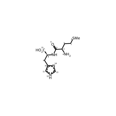 CSCCC(N)C(=O)N[C@@H](Cc1c[nH]cn1)C(=O)O